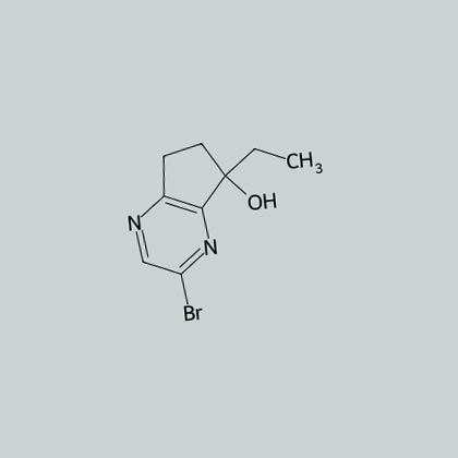 CCC1(O)CCc2ncc(Br)nc21